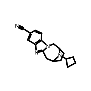 N#Cc1ccc2c(c1)nc1n2CC2CCC(C1)N2C1CCC1